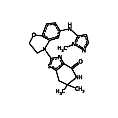 Cn1nccc1Nc1ccc2c(c1)N(c1nc3c(s1)CC(C)(C)NC3=O)CCO2